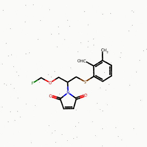 Cc1cccc(SCC(COCF)N2C(=O)C=CC2=O)c1C=O